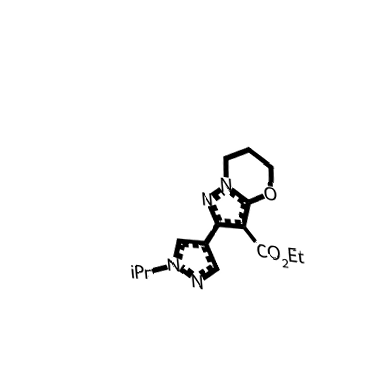 CCOC(=O)c1c(-c2cnn(C(C)C)c2)nn2c1OCCC2